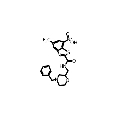 O=C(NCC1CN(Cc2ccccc2)CCO1)c1nc2cc(C(F)(F)F)cc([N+](=O)O)c2s1